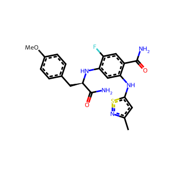 COc1ccc(C[C@@H](Nc2cc(Nc3cc(C)ns3)c(C(N)=O)cc2F)C(N)=O)cc1